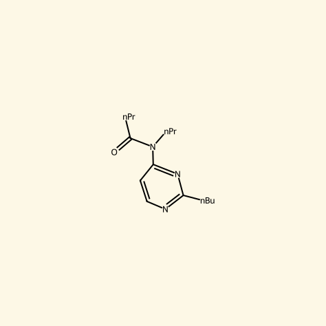 CCCCc1nccc(N(CCC)C(=O)CCC)n1